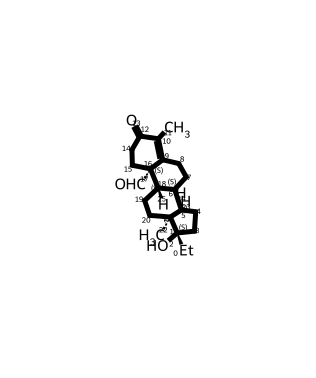 CC[C@]1(O)CC[C@H]2[C@@H]3CCC4=C(C)C(=O)CC[C@]4(C=O)[C@H]3CC[C@@]21C